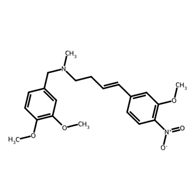 COc1ccc(CN(C)CCC=Cc2ccc([N+](=O)[O-])c(OC)c2)cc1OC